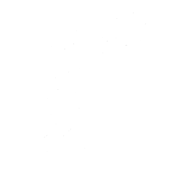 Cc1cc(-c2ccc(C34CC5CC(CC(C5)C3)C4)cc2)c2oc3cc(-c4ccccc4)ccc3c2c1